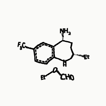 CCOC=O.CC[C@H]1C[C@@H](N)c2cc(C(F)(F)F)ccc2N1